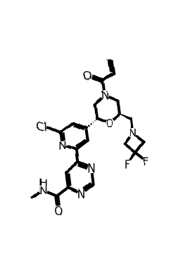 C=CC(=O)N1C[C@@H](CN2CC(F)(F)C2)O[C@H](c2cc(Cl)nc(-c3cc(C(=O)NC)ncn3)c2)C1